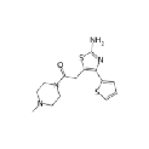 CN1CCN(C(=O)Cc2sc(N)nc2-c2cccs2)CC1